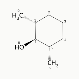 C[C@@H]1CCC[C@H](C)[C@H]1O